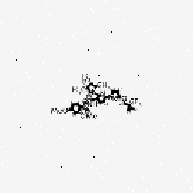 COc1ccc(S(=O)(=O)NC(=O)c2ccc(-n3ccc(OCC4(C(F)(F)F)CC4)n3)nc2N2CC(C)(C)CC2C)c(OC)c1